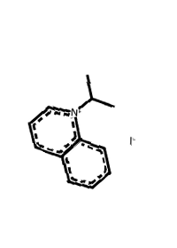 CC(C)[n+]1cccc2ccccc21.[I-]